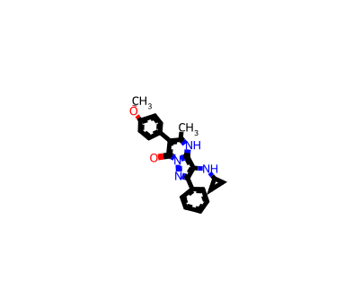 COc1ccc(-c2c(C)[nH]c3c(NC4CC4)c(-c4ccccc4)nn3c2=O)cc1